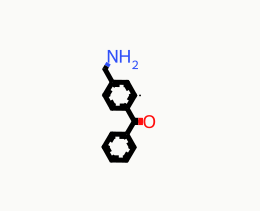 NCc1c[c]c(C(=O)c2ccccc2)cc1